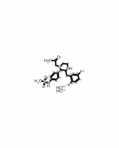 CC(=O)CN1CCNC(Cc2cc(F)ccc2F)[C@H]1c1ccc(NS(C)(=O)=O)cc1.Cl.Cl